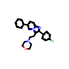 Clc1ccc(-c2nc3ccc(-c4ccccc4)cn3c2CCN2CCOCC2)cc1